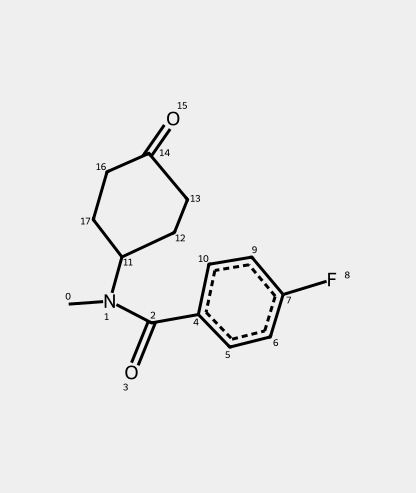 CN(C(=O)c1ccc(F)cc1)C1CCC(=O)CC1